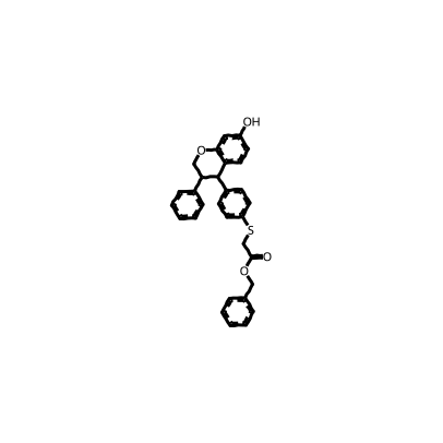 O=C(CSc1ccc(C2c3ccc(O)cc3OCC2c2ccccc2)cc1)OCc1ccccc1